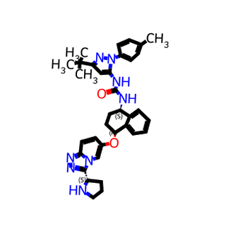 Cc1ccc(-n2nc(C(C)(C)C)cc2NC(=O)N[C@H]2CC[C@@H](Oc3ccc4nnc([C@@H]5CCCN5)n4c3)c3ccccc32)cc1